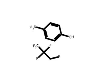 FCC(F)(F)C(F)(F)F.Nc1ccc(O)cc1